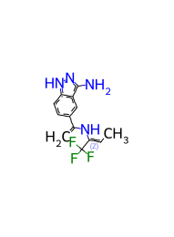 C=C(N/C(=C\C)C(F)(F)F)c1ccc2[nH]nc(N)c2c1